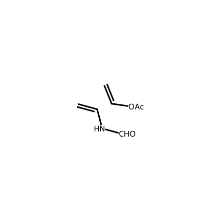 C=CNC=O.C=COC(C)=O